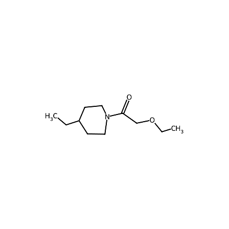 CCOCC(=O)N1CCC(CC)CC1